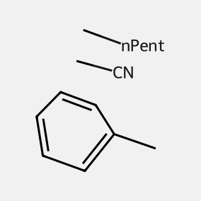 CC#N.CCCCCC.Cc1ccccc1